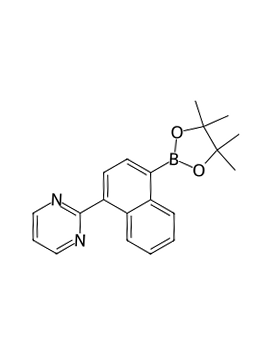 CC1(C)OB(c2ccc(-c3ncccn3)c3ccccc23)OC1(C)C